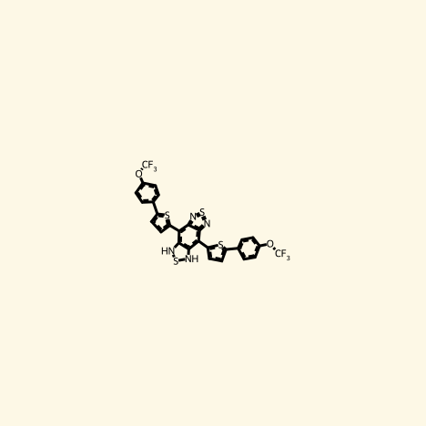 FC(F)(F)Oc1ccc(-c2ccc(-c3c4c(c(-c5ccc(-c6ccc(OC(F)(F)F)cc6)s5)c5nsnc35)NSN4)s2)cc1